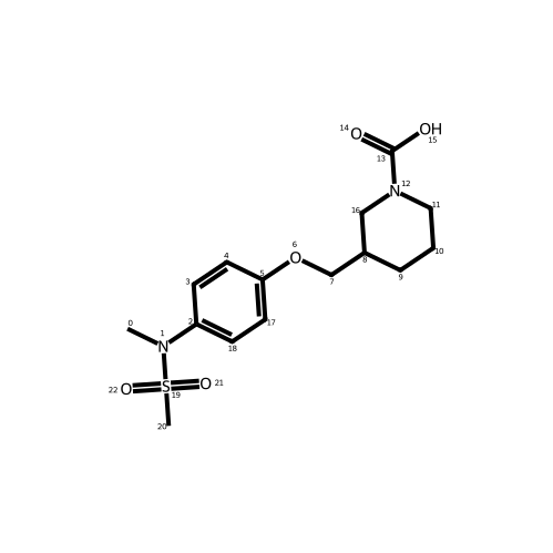 CN(c1ccc(OCC2CCCN(C(=O)O)C2)cc1)S(C)(=O)=O